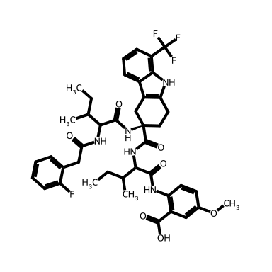 CCC(C)C(NC(=O)Cc1ccccc1F)C(=O)N[C@]1(C(=O)NC(C(=O)Nc2ccc(OC)cc2C(=O)O)C(C)CC)CCc2[nH]c3c(C(F)(F)F)cccc3c2C1